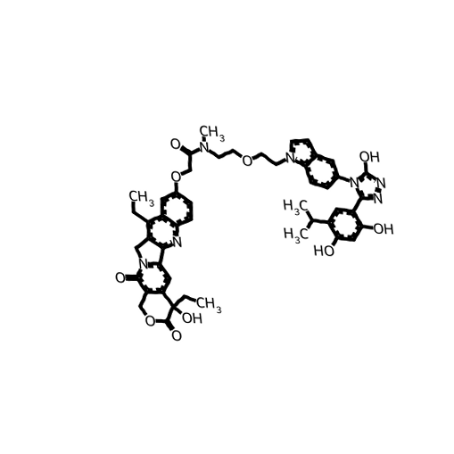 CCc1c2c(nc3ccc(OCC(=O)N(C)CCOCCn4ccc5cc(-n6c(O)nnc6-c6cc(C(C)C)c(O)cc6O)ccc54)cc13)-c1cc3c(c(=O)n1C2)COC(=O)C3(O)CC